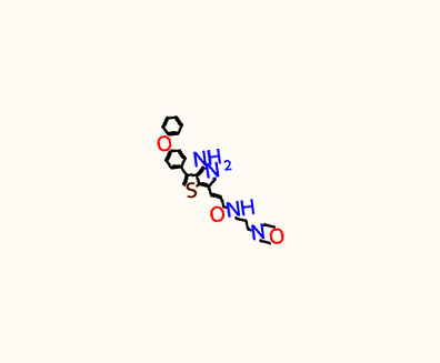 Nc1ncc(C=CC(=O)NCCCN2CCOCC2)c2scc(-c3ccc(Oc4ccccc4)cc3)c12